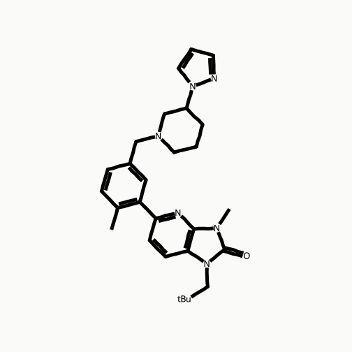 Cc1ccc(CN2CCCC(n3cccn3)C2)cc1-c1ccc2c(n1)n(C)c(=O)n2CC(C)(C)C